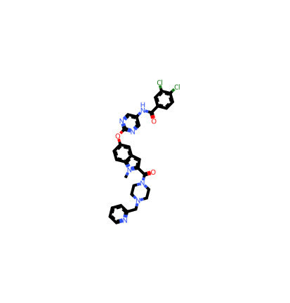 Cn1c(C(=O)N2CCN(Cc3ccccn3)CC2)cc2cc(Oc3ncc(NC(=O)c4ccc(Cl)c(Cl)c4)cn3)ccc21